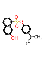 CC(C)c1ccc(OS(=O)(=O)c2cccc3ccc(O)cc23)cc1